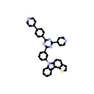 c1cc(-c2nc(-c3ccncc3)nc(-c3ccc(-c4ccncc4)cc3)n2)cc(-n2c3ccccc3c3c4sccc4ccc32)c1